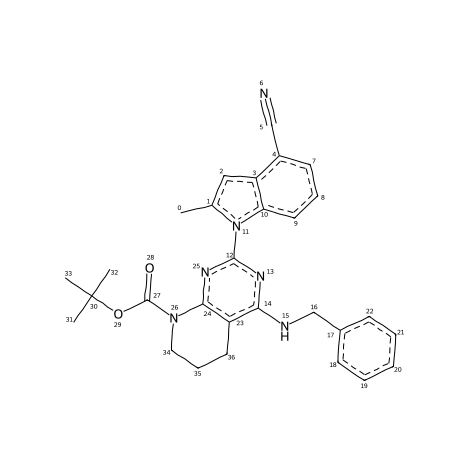 Cc1cc2c(C#N)cccc2n1-c1nc(NCc2ccccc2)c2c(n1)N(C(=O)OC(C)(C)C)CCC2